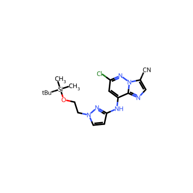 CC(C)(C)[Si](C)(C)OCCn1ccc(Nc2cc(Cl)nn3c(C#N)cnc23)n1